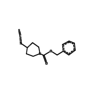 O=C(OCc1ccccc1)N1CCC(N=C=S)CC1